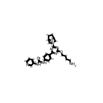 NCCCCOc1nc(-c2ccc(NC(=O)Nc3cccnc3)cc2)nc(N2CC3CCC(C2)O3)n1